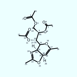 CC(=O)OC[C@@H](OC(C)=O)[C@@H](OC(C)=O)C1OC(C)=C[C@H]2OC(C)=N[C@@H]12